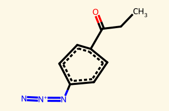 CCC(=O)c1ccc(N=[N+]=[N-])cc1